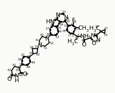 Cc1c([C@@H](C)NC(=O)c2nc(C3(C)CC3)no2)ccc(-c2ncnc3[nH]c4cc(N5CCN(C6CC(c7ccc([C@@H]8CCC(=O)NC8=O)cc7)C6)CC5)ccc4c23)c1F